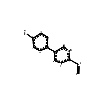 C=Nc1ncc(-c2ccc(Br)cc2)cn1